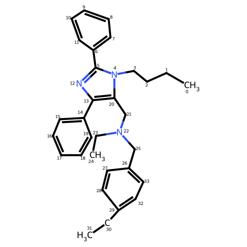 CCCCn1c(-c2ccccc2)nc(-c2ccccc2)c1CN(CC)Cc1ccc(CC)cc1